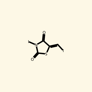 O=C1S/C(=C\I)C(=O)N1I